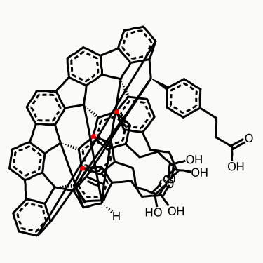 O=C(O)CCc1ccc([C@@]23C4=C5[C@H]6C7=C4[C@@]4(c8ccc(CCC(=O)O)cc8)c8c9ccc(c82)-c2ccc8c(c23)[C@]5(c2ccc(CCC(=O)O)cc2)c2c-8ccc3c2[C@]6(c2ccc(CCC(=O)O)cc2)c2c-3ccc3c2[C@]7(c2ccc(CCC(=O)O)cc2)c2c-3ccc-9c24)cc1